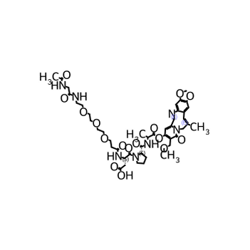 COCc1c(OC(=O)C(C)NC(=O)[C@@H]2CCCN2C(=O)[C@H](CC(=O)O)NC(=O)CCOCCOCCOCCNC(=O)CNC(C)=O)cc2n(c1=O)C/C(C)=C/c1cc3c(cc1/N=C/2)OCO3